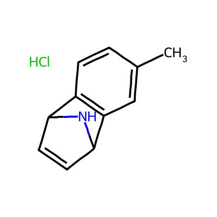 Cc1ccc2c(c1)C1C=CC2N1.Cl